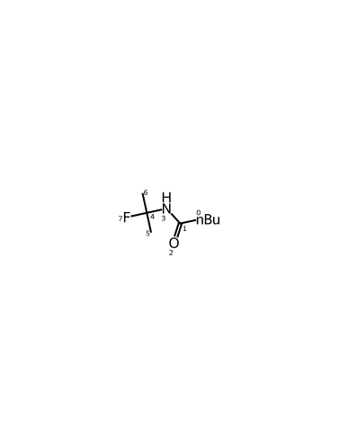 CCCCC(=O)NC(C)(C)F